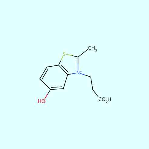 Cc1sc2ccc(O)cc2[n+]1CCC(=O)O